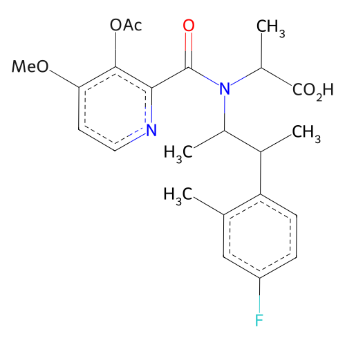 COc1ccnc(C(=O)N(C(C)C(=O)O)C(C)C(C)c2ccc(F)cc2C)c1OC(C)=O